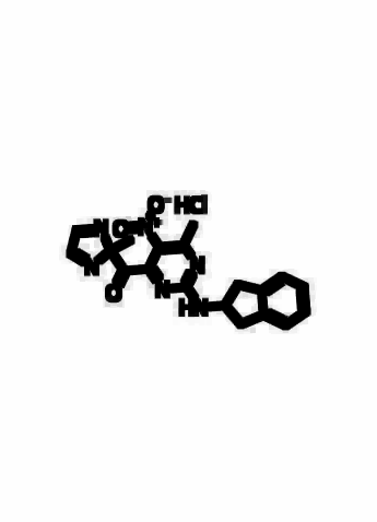 Cc1nc(NC2Cc3ccccc3C2)nc(C(=O)C2(C)N=CC=N2)c1[N+](=O)[O-].Cl